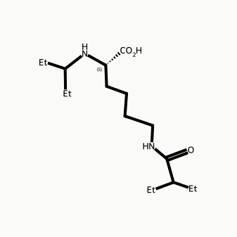 CCC(CC)N[C@@H](CCCCNC(=O)C(CC)CC)C(=O)O